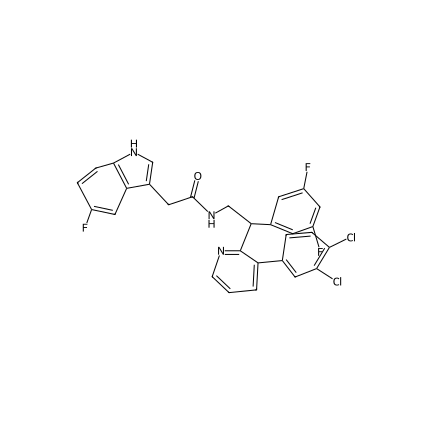 O=C(Cc1c[nH]c2ccc(F)cc12)NCC(c1cc(F)cc(F)c1)c1ncccc1-c1ccc(Cl)c(Cl)c1